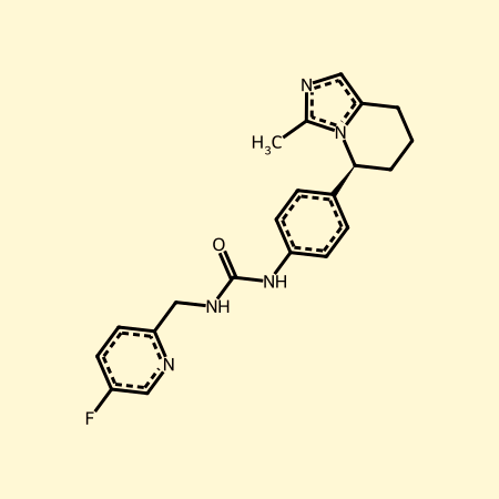 Cc1ncc2n1[C@H](c1ccc(NC(=O)NCc3ccc(F)cn3)cc1)CCC2